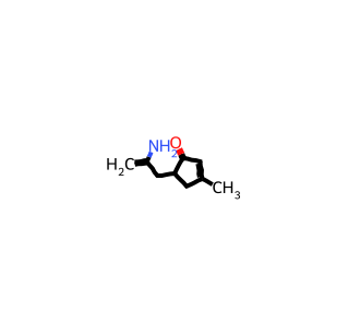 C=C(N)CC1CC(C)=CC1=O